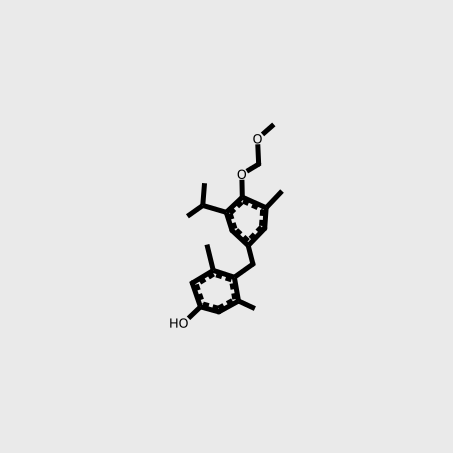 COCOc1c(C)cc(Cc2c(C)cc(O)cc2C)cc1C(C)C